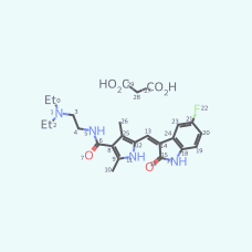 CCN(CC)CCNC(=O)c1c(C)[nH]c(C=C2C(=O)Nc3ccc(F)cc32)c1C.O=C(O)CC(=O)O